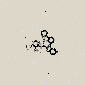 C[C@@H](Nc1ncnc(N)c1N)c1nc2ccc(F)cc2n1-c1cncc(-c2ccccn2)c1